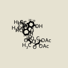 CC(=O)O[C@@H](C(=O)O)[C@@H](OC(C)=O)C(=O)O[C@@H](C)C(=O)OC1=CC[C@@]2(O)[C@@H](C)N(C)CC[C@@]23c2c(C)ccc(O)c2O[C@@H]13